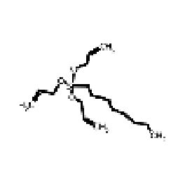 C=CCO[Si](CCCCCCCC)(OCC=C)OCC=C